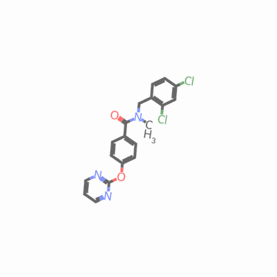 CN(Cc1ccc(Cl)cc1Cl)C(=O)c1ccc(Oc2ncccn2)cc1